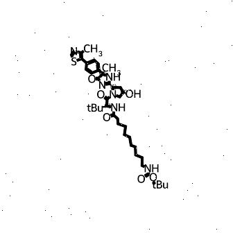 Cc1ncsc1-c1ccc([C@]2(C)NC([C@@H]3C[C@@H](O)CN3C(=O)[C@@H](NC(=O)CCCCCCCCCCNC(=O)OC(C)(C)C)C(C)(C)C)=NC2=O)cc1